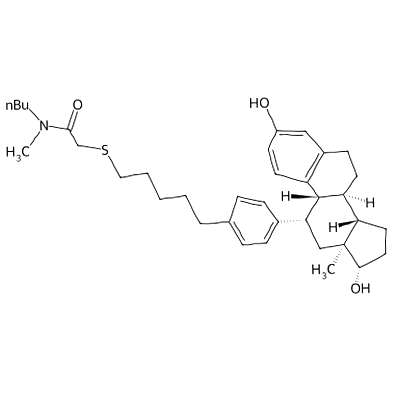 CCCCN(C)C(=O)CSCCCCCc1ccc([C@H]2C[C@]3(C)[C@@H](O)CC[C@H]3[C@@H]3CCc4cc(O)ccc4[C@H]32)cc1